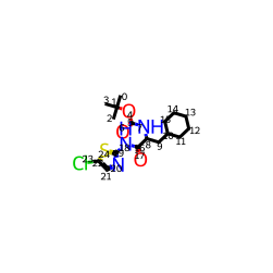 CC(C)(C)OC(=O)NC(CC1CCCCC1)C(=O)Nc1ncc(Cl)s1